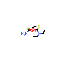 CC.CCN(CC)C(O)=S.NC(O)=S